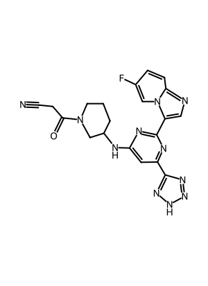 N#CCC(=O)N1CCCC(Nc2cc(-c3nn[nH]n3)nc(-c3cnc4ccc(F)cn34)n2)C1